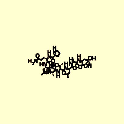 CC(C)C[C@H](NC(=O)[C@H](CCC(N)=O)NC(=O)[C@@H]1CCCN1)C(=O)N[C@@H](C)C(=O)N[C@H](C(=O)N[C@@H](CC(C)C)C(=O)N[C@@H](C)C(=O)N[C@@H](CC(=O)O)C(=O)O)[C@@H](C)O